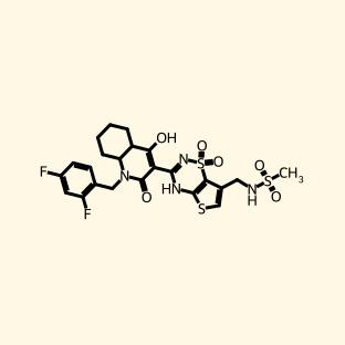 CS(=O)(=O)NCc1csc2c1S(=O)(=O)N=C(C1=C(O)C3CCCCC3N(Cc3ccc(F)cc3F)C1=O)N2